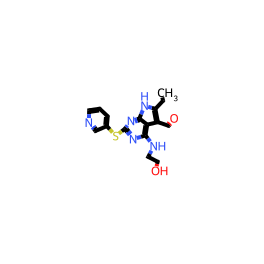 CCc1[nH]c2nc(Sc3cccnc3)nc(NCCO)c2c1C=O